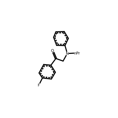 CCCN(CC(=O)c1ccc(F)cc1)c1ccccc1